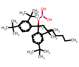 CCCCCCCC(OP(O)O)(c1ccc(C(C)(C)C)cc1C(C)(C)C)c1ccc(C(C)(C)C)cc1C(C)(C)C